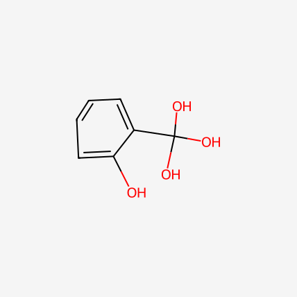 Oc1ccccc1C(O)(O)O